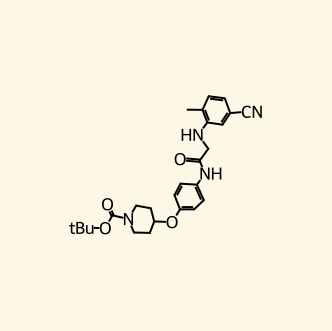 Cc1ccc(C#N)cc1NCC(=O)Nc1ccc(OC2CCN(C(=O)OC(C)(C)C)CC2)cc1